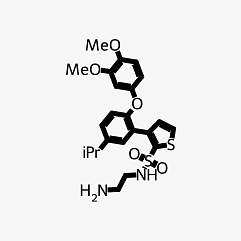 COc1ccc(Oc2ccc(C(C)C)cc2-c2ccsc2S(=O)(=O)NCCN)cc1OC